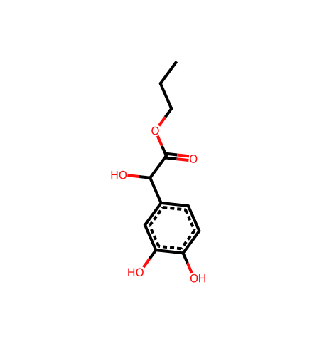 CCCOC(=O)C(O)c1ccc(O)c(O)c1